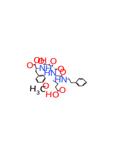 COc1ccc(C[C@H](NC(=O)[C@H]2O[C@@H]2C(=O)N[C@@H](CCCC(=O)O)C(=O)NCCc2ccccc2)C(=O)O)cc1